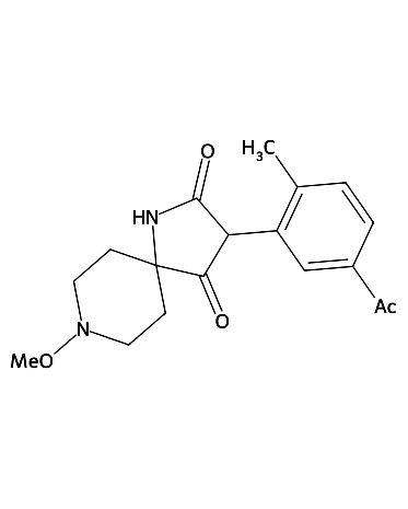 CON1CCC2(CC1)NC(=O)C(c1cc(C(C)=O)ccc1C)C2=O